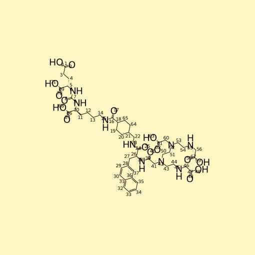 O=C(O)CC[C@H](NC(=O)N[C@@H](CCCCNC(=O)C1CCC(CNC(=O)C(Cc2ccc3ccccc3c2)NC(=O)CN(CCNCC(=O)O)CCN(CCNCC(=O)O)CC(=O)O)CC1)C(=O)O)C(=O)O